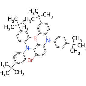 CC(C)(C)c1ccc(N2c3ccc(C(C)(C)C)cc3B3c4cc(C(C)(C)C)ccc4N(c4ccc(C(C)(C)C)cc4)c4c(Br)ccc2c43)cc1